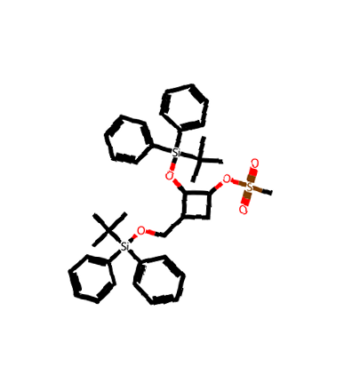 CC(C)(C)[Si](OCC1CC(OS(C)(=O)=O)C1O[Si](c1ccccc1)(c1ccccc1)C(C)(C)C)(c1ccccc1)c1ccccc1